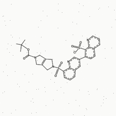 CC(C)(C)OC(=O)N1CC2=C(C1)CN(S(=O)(=O)c1cccc3cc(-c4ccc5cccnc5c4S(=O)(=O)Cl)cnc13)C2